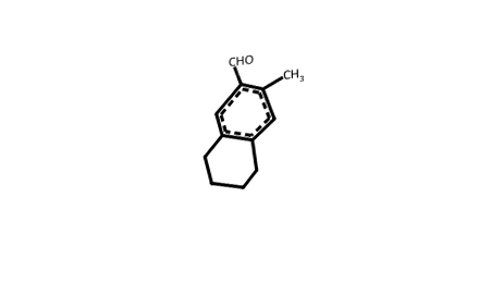 Cc1cc2c(cc1C=O)CCCC2